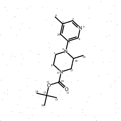 Cc1cncc(N2CCN(C(=O)OC(C)(C)C)CC2C)c1